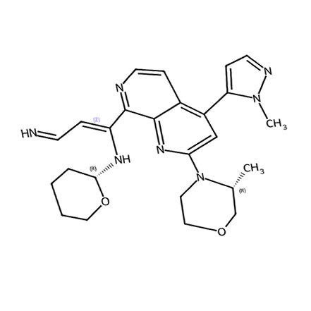 C[C@@H]1COCCN1c1cc(-c2ccnn2C)c2ccnc(/C(=C/C=N)N[C@H]3CCCCO3)c2n1